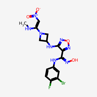 CNC(=C[N+](=O)[O-])N1CC(Nc2nonc2C(=NO)Nc2ccc(F)c(Br)c2)C1